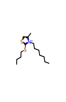 CCCCCCC[n+]1c(C)csc1SCCCC